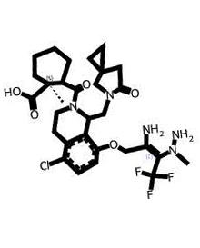 CN(N)/C(=C(\N)COc1ccc(Cl)c2c1C(CN1CC3(CC3)CC1=O)N(C(=O)C1CCCC[C@]1(C)C(=O)O)CC2)C(F)(F)F